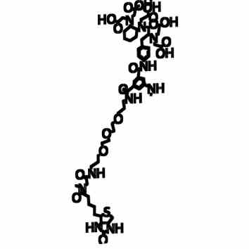 CNc1cc(C(=O)NCCCOCCOCCOCCCNC(=O)CN(C)C(=O)CCCCC2SCC3NC(=O)NC32)cc(C(=O)Nc2ccc(CC(CN(CC(=O)O)C3CCCCC3N(CC(=O)O)CC(=O)O)N(CC(=O)O)CC(=O)O)cc2)c1